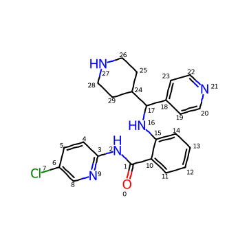 O=C(Nc1ccc(Cl)cn1)c1ccccc1NC(c1ccncc1)C1CCNCC1